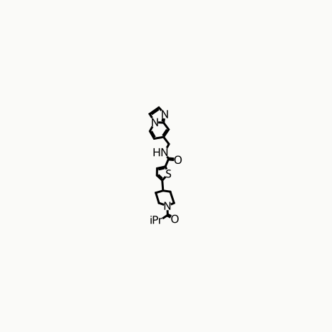 CC(C)C(=O)N1CCC(c2ccc(C(=O)NCc3ccn4ccnc4c3)s2)CC1